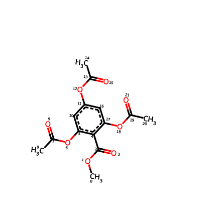 COC(=O)c1c(OC(C)=O)cc(OC(C)=O)cc1OC(C)=O